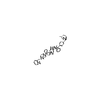 CC1CCCN(Cc2ccc(C(=O)Nc3ccc(OC(=O)N4CCN(CCc5ccccn5)CC4)nc3)cc2)C1